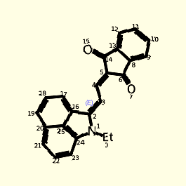 CCn1/c(=C/C=C2C(=O)c3ccccc3C2=O)c2cccc3cccc1c32